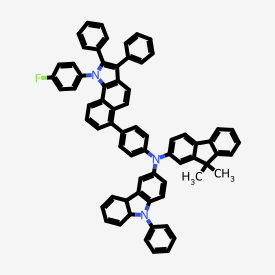 CC1(C)c2ccccc2-c2ccc(N(c3ccc(-c4cccc5c4ccc4c(-c6ccccc6)c(-c6ccccc6)n(-c6ccc(F)cc6)c45)cc3)c3ccc4c(c3)C3C=CC=CC3N4c3ccccc3)cc21